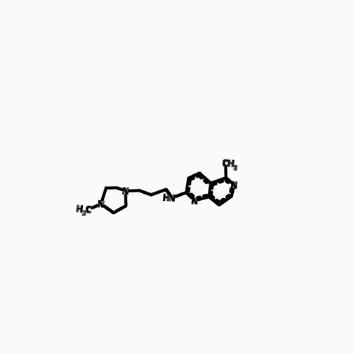 Cc1nccc2nc(NCCCN3CCN(C)CC3)ccc12